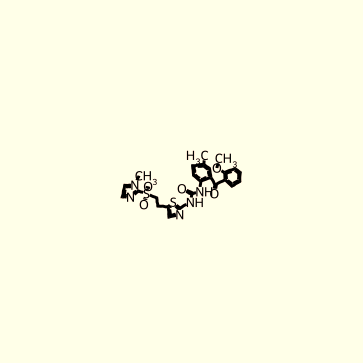 COc1ccccc1C(=O)c1cc(C)ccc1NC(=O)Nc1ncc(CCS(=O)(=O)c2nccn2C)s1